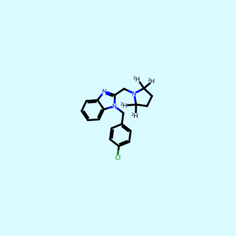 [2H]C1([2H])CCC([2H])([2H])N1Cc1nc2ccccc2n1Cc1ccc(Cl)cc1